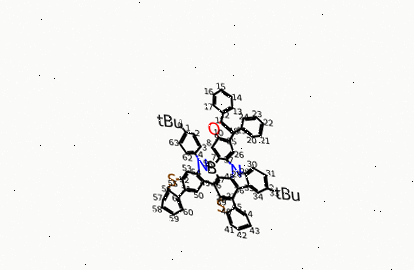 CC(C)(C)c1ccc(N2B3c4cc5oc(-c6ccccc6)c(-c6ccccc6)c5cc4-n4c5ccc(C(C)(C)C)cc5c5c6c(sc7ccccc76)c(c3c54)-c3cc4c(cc32)sc2ccccc24)cc1